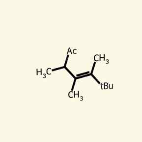 CC(=O)C(C)C(C)=C(C)C(C)(C)C